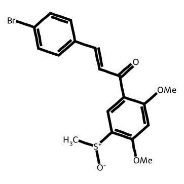 COc1cc(OC)c([S+](C)[O-])cc1C(=O)/C=C/c1ccc(Br)cc1